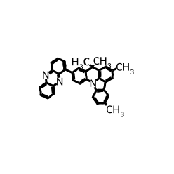 Cc1ccc2c(c1)c1cc(C)cc3c1n2-c1ccc(-c2cccc4nc5ccccc5nc24)cc1C3(C)C